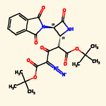 CC(C)(C)OC(=O)C(=[N+]=[N-])C(=O)C(C(=O)OC(C)(C)C)[C@H]1NC(=O)[C@@H]1N1C(=O)c2ccccc2C1=O